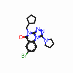 O=c1c2cc(Br)ccc2n2c(N3CCCC3)nnc2n1CC1CCCC1